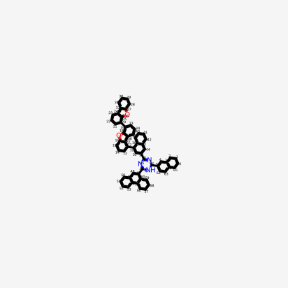 c1ccc2cc(C3N=C(c4cc(-c5cccc6oc7c(-c8cccc9c8oc8ccccc89)cccc7c56)c5ccccc5c4)N=C(c4cc5ccccc5c5ccccc45)N3)ccc2c1